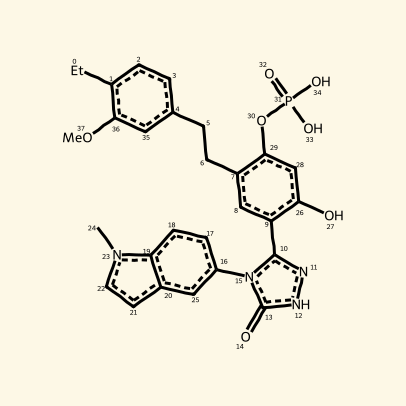 CCc1ccc(CCc2cc(-c3n[nH]c(=O)n3-c3ccc4c(ccn4C)c3)c(O)cc2OP(=O)(O)O)cc1OC